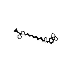 O=C(OCCCCCCCCCOCc1ccc2c(c1)OCO2)C1CC1